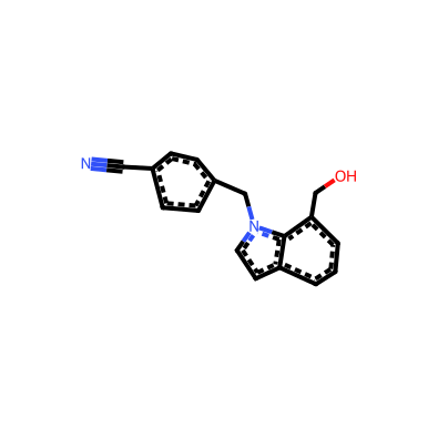 N#Cc1ccc(Cn2ccc3cccc(CO)c32)cc1